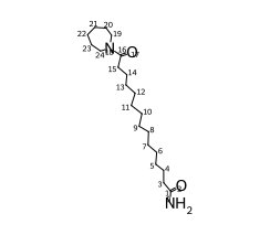 NC(=O)CCCCCCCCCCCCCC(=O)N1CCCCCC1